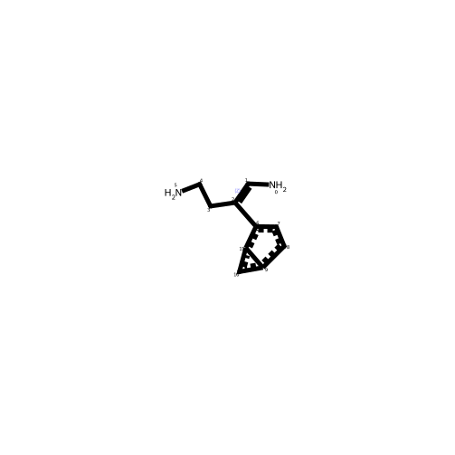 N/C=C(/CCN)c1ccc2cc1-2